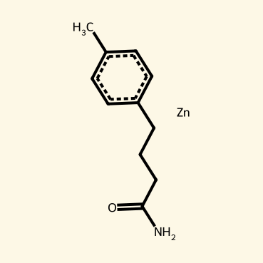 Cc1ccc(CCCC(N)=O)cc1.[Zn]